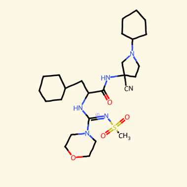 CS(=O)(=O)/N=C(/NC(CC1CCCCC1)C(=O)NC1(C#N)CCN(C2CCCCC2)C1)N1CCOCC1